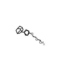 C=COCCOc1ccc(C23CC4CC(CC(C4)C2)C3)cc1